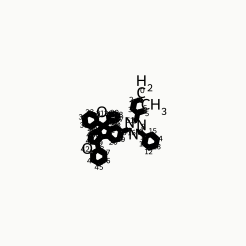 C=C/C=C\C(=C/C)c1nc(-c2ccccc2)nc(-c2ccc3c(c2)C2(c4ccccc4Oc4ccccc42)c2ccc4oc5ccccc5c4c2-3)n1